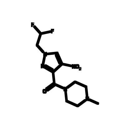 CN1CCN(C(=O)c2nn(CC(F)F)cc2[N+](=O)[O-])CC1